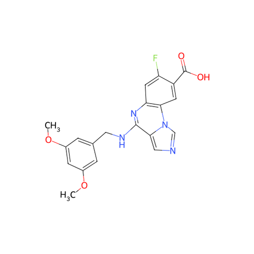 COc1cc(CNc2nc3cc(F)c(C(=O)O)cc3n3cncc23)cc(OC)c1